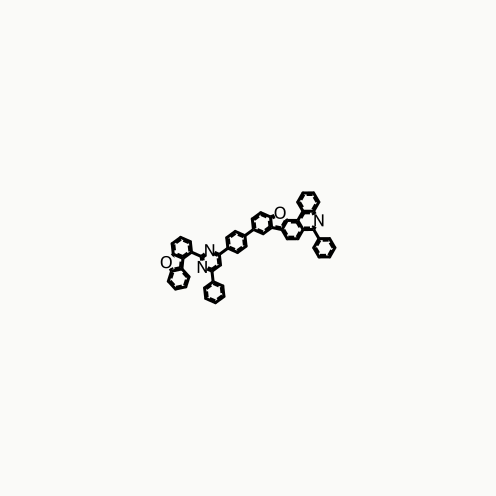 c1ccc(-c2cc(-c3ccc(-c4ccc5oc6c(ccc7c(-c8ccccc8)nc8ccccc8c76)c5c4)cc3)nc(-c3cccc4oc5ccccc5c34)n2)cc1